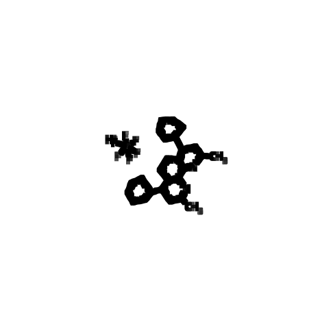 Cc1cc(-c2ccccc2)c2ccc3c(-c4ccccc4)cc(C)nc3c2n1.F[P-](F)(F)(F)(F)F.[H+]